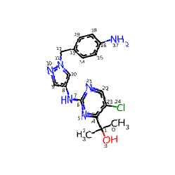 CC(C)(O)c1nc(Nc2cnn(Cc3ccc(N)cc3)c2)ncc1Cl